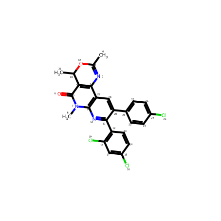 CC1=Nc2c(c(=O)n(C)c3nc(-c4ccc(Cl)cc4Cl)c(-c4ccc(Cl)cc4)cc23)C(C)O1